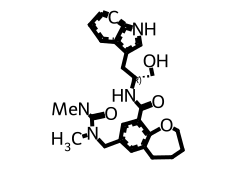 CNC(=O)N(C)Cc1cc2c(c(C(=O)N[C@@H](CO)Cc3c[nH]c4ccccc34)c1)OCCCC2